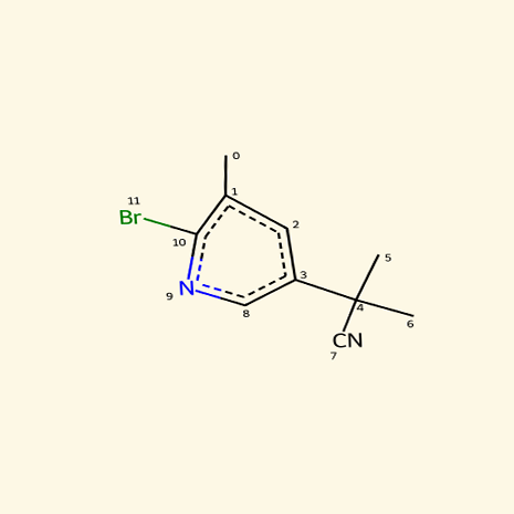 Cc1cc(C(C)(C)C#N)cnc1Br